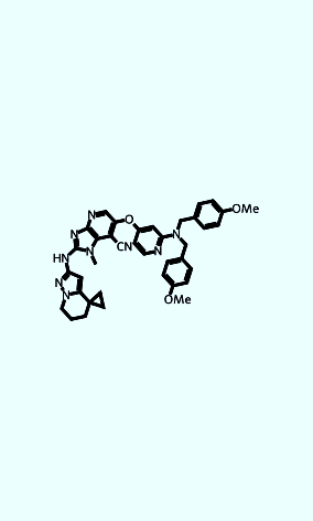 COc1ccc(CN(Cc2ccc(OC)cc2)c2cc(Oc3cnc4nc(Nc5cc6n(n5)CCCC65CC5)n(C)c4c3C#N)ccn2)cc1